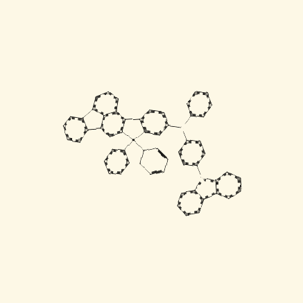 C1=CCC(C2(c3ccccc3)c3cc(N(c4ccccc4)c4ccc(-n5c6ccccc6c6ccccc65)cc4)ccc3-c3c2cc2c4c(cccc34)-c3ccccc3-2)C=C1